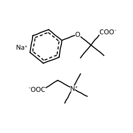 CC(C)(Oc1ccccc1)C(=O)[O-].C[N+](C)(C)CC(=O)[O-].[Na+]